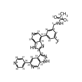 CS(=O)(=O)NCc1cc(F)cc(-c2cncc3[nH]c(-c4n[nH]c5cnc(-c6ccncc6)cc45)nc23)c1